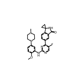 COc1ccc(N2CCN(C)CC2)cc1Nc1ncc(F)c(-c2ccc3c(c2)C(=O)NC32CC2)n1